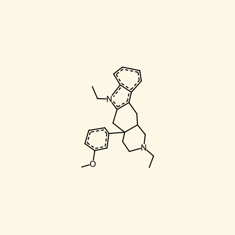 CCN1CCC2(c3cccc(OC)c3)Cc3c(c4ccccc4n3CC)CC2C1